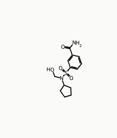 NC(=O)c1cccc(S(=O)(=O)N(CO)C2CCCC2)c1